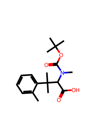 Cc1ccccc1C(C)(C)C(C(=O)O)N(C)C(=O)OC(C)(C)C